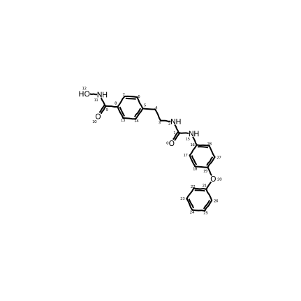 O=C(NCCc1ccc(C(=O)NO)cc1)Nc1ccc(Oc2ccccc2)cc1